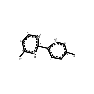 Cc1ccc(-c2n[c]cc(C)n2)nc1